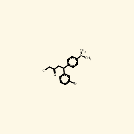 CN(C)c1ccc(C(CC(=O)CCl)c2cccc(Br)c2)cc1